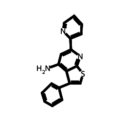 Nc1cc(-c2ccccn2)nc2scc(-c3ccccc3)c12